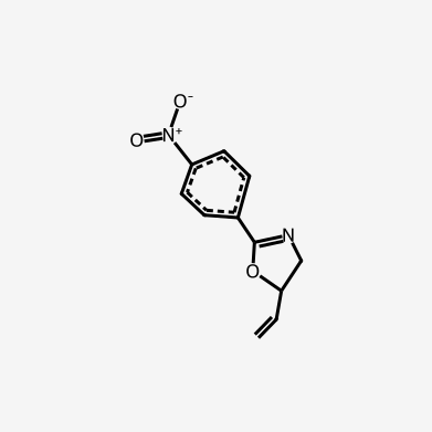 C=CC1CN=C(c2ccc([N+](=O)[O-])cc2)O1